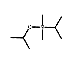 CC(C)O[Si](C)(C)C(C)C